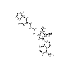 Nc1ncnc2c1ccn2[C@@H]1C[C@H](CCCCc2ccn3ccnc3c2)[C@@H](O)[C@H]1O